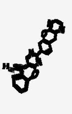 c1ccc2c(c1)Oc1nc(-c3ccc4c(c3)Oc3nccnc3C4)ncc1[SiH2]2